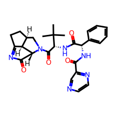 CC(C)(C)[C@H](NC(=O)[C@@H](NC(=O)c1cnccn1)c1ccccc1)C(=O)N1C[C@@H]2CCC3=NC(=O)[C@@H]1[C@@H]32